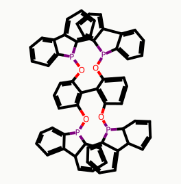 C1=CC2c3ccccc3P(Oc3cccc(Op4c5ccccc5c5ccccc54)c3-c3c(OP4c5ccccc5C5C=CC=CC54)cccc3Op3c4ccccc4c4ccccc43)C2C=C1